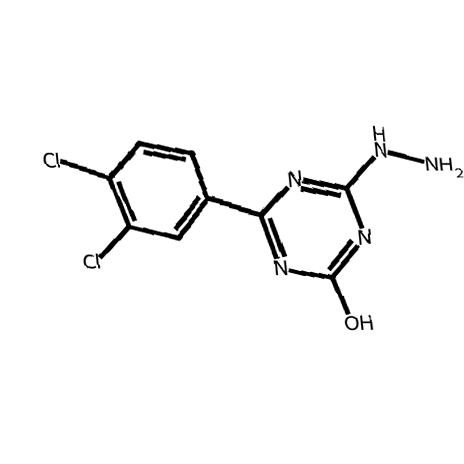 NNc1nc(O)nc(-c2ccc(Cl)c(Cl)c2)n1